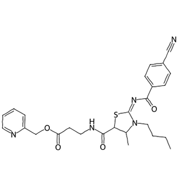 CCCCN1C(=NC(=O)c2ccc(C#N)cc2)SC(C(=O)NCCC(=O)OCc2ccccn2)C1C